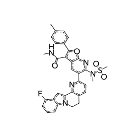 CNC(=O)c1c(-c2ccc(C)cc2)oc2nc(N(C)S(C)(=O)=O)c(-c3ccc4c(n3)-c3cc5c(F)cccc5n3CC4)cc12